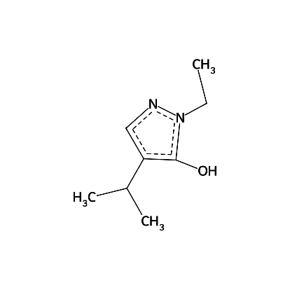 CCn1ncc(C(C)C)c1O